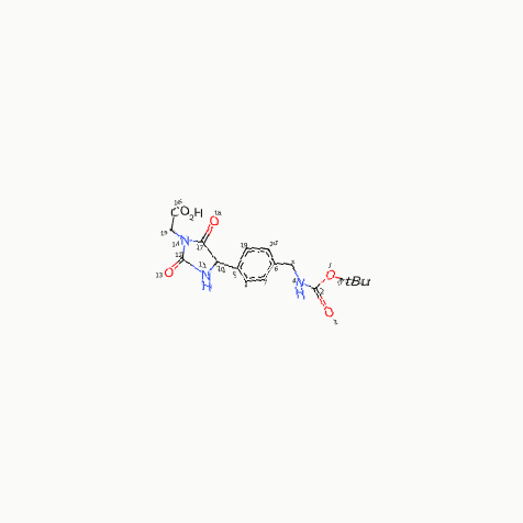 CC(C)(C)OC(=O)NCc1ccc(C2NC(=O)N(CC(=O)O)C2=O)cc1